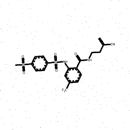 C=C(C#N)CCNC(=O)c1ccc(C(F)(F)F)cc1NS(=O)(=O)c1ccc(S(C)(=O)=O)cc1